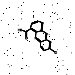 O=C(O)c1cccc2cc3cc(Cl)ccc3nc12